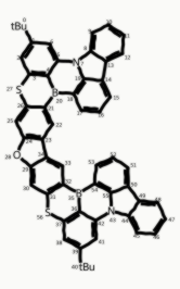 CC(C)(C)c1cc2c3c(c1)-n1c4ccccc4c4cccc(c41)B3c1cc3c(cc1S2)oc1cc2c(cc13)B1c3c(cc(C(C)(C)C)cc3-n3c4ccccc4c4cccc1c43)S2